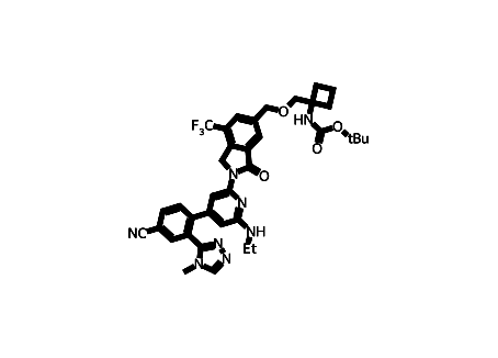 CCNc1cc(-c2ccc(C#N)cc2-c2nncn2C)cc(N2Cc3c(cc(COCC4(NC(=O)OC(C)(C)C)CCC4)cc3C(F)(F)F)C2=O)n1